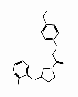 O=C(COc1ccc(CO)cc1)N1CCC(Oc2cccnc2F)C1